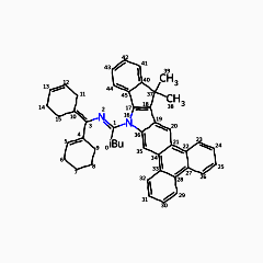 CCC(C)/C(=N\C(C1=CCCCC1)=C1/CC=CCC1)n1c2c(c3cc4c5ccccc5c5ccccc5c4cc31)C(C)(C)c1ccccc1-2